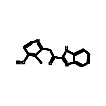 COc1ccnc(CC(=O)c2nc3ccccc3[nH]2)c1C